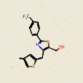 Cc1csc(Cc2nc(-c3ccc(C(F)(F)F)cc3)sc2CO)c1